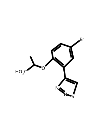 CC(Oc1ccc(Br)cc1-c1csnn1)C(=O)O